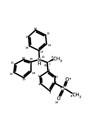 C[C@@H](c1cccc(S(C)(=O)=O)c1)[SiH](c1ccccc1)c1ccccc1